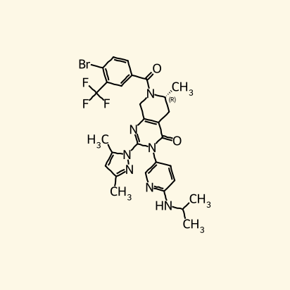 Cc1cc(C)n(-c2nc3c(c(=O)n2-c2ccc(NC(C)C)nc2)C[C@@H](C)N(C(=O)c2ccc(Br)c(C(F)(F)F)c2)C3)n1